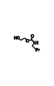 CC(C)CNC(=O)OCCO